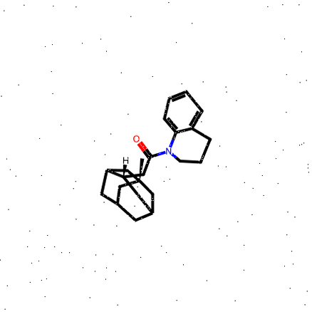 C[C@]12CC3CC(C1)[C@@H](CC(=O)N1CCCc4ccccc41)C(C3)C2